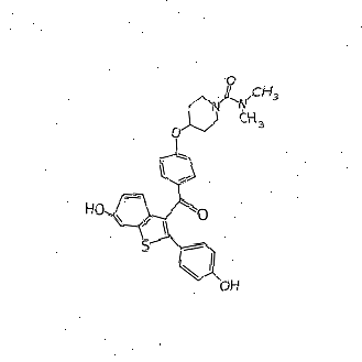 CN(C)C(=O)N1CCC(Oc2ccc(C(=O)c3c(-c4ccc(O)cc4)sc4cc(O)ccc34)cc2)CC1